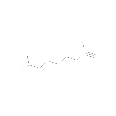 C#[SH](C)CCCCCC(F)F